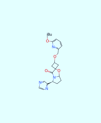 CCC(C)Oc1cccc(COC2CC3(C2)OC2CC[C@@H](c4cnccn4)N2C3=O)n1